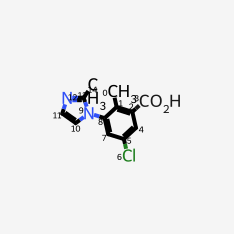 Cc1c(C(=O)O)cc(Cl)cc1-n1ccnc1C